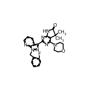 CC1(C)C(=O)Nc2nc(-c3nn(Cc4ccccc4F)c4ncccc34)nc(N3CCOCC3)c21